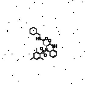 Cc1cc(C)c(S(=O)(=O)N2c3ccccc3NC(=O)[C@H]2CC(=O)NCC2CCCCC2)c(C)c1